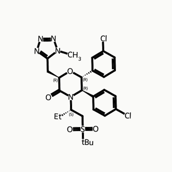 CC[C@@H](CS(=O)(=O)C(C)(C)C)N1C(=O)[C@@H](Cc2nnnn2C)O[C@H](c2cccc(Cl)c2)[C@H]1c1ccc(Cl)cc1